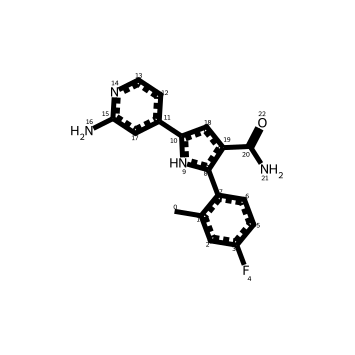 Cc1cc(F)ccc1-c1[nH]c(-c2ccnc(N)c2)cc1C(N)=O